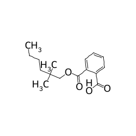 CCCCC(C)(C)COC(=O)c1ccccc1C(=O)O